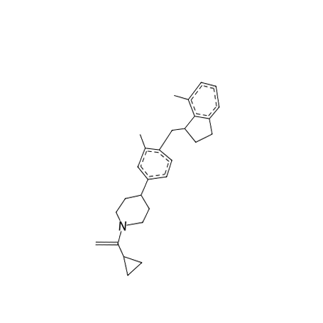 C=C(C1CC1)N1CCC(c2ccc(CC3CCc4cccc(C)c43)c(C)c2)CC1